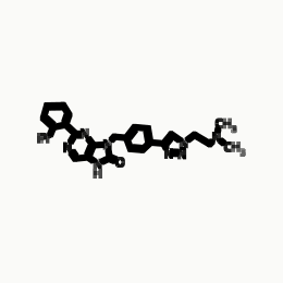 CC(C)c1ccccc1-c1ncc2[nH]c(=O)n(Cc3ccc(-c4cn(CCN(C)C)nn4)cc3)c2n1